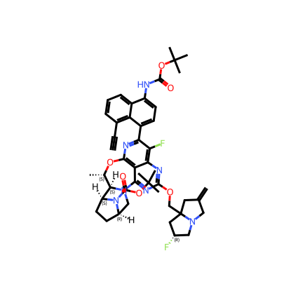 C#Cc1cccc2c(NC(=O)OC(C)(C)C)ccc(-c3nc4c5c(nc(OCC67CC(=C)CN6C[C@H](F)C7)nc5c3F)N3C[C@H]5CC[C@@H]([C@H]3[C@H](C)O4)N5C(=O)OC(C)(C)C)c12